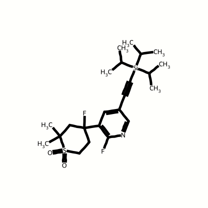 CC(C)[Si](C#Cc1cnc(F)c(C2(F)CCS(=O)(=O)C(C)(C)C2)c1)(C(C)C)C(C)C